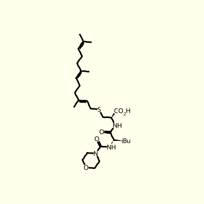 CC[C@H](C)[C@H](NC(=O)N1CCOCC1)C(=O)N[C@@H](CSC/C=C(\C)CC/C=C(\C)CCC=C(C)C)C(=O)O